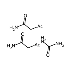 CC(=O)CC(N)=O.CC(=O)CC(N)=O.NC(N)=O